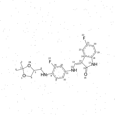 CC1(C)OCC(CNc2ccc(NC=C3C(=O)Nc4ccc(F)cc43)cc2F)O1